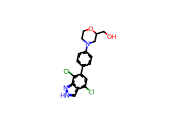 OCC1CN(c2ccc(-c3cc(Cl)c4c[nH]nc4c3Cl)cc2)CCO1